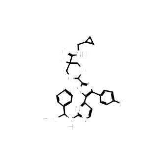 CC(Nc1nccc(-c2[nH]c(C3OCC(C)(C(=O)NCC4CC4)CO3)nc2-c2ccc(F)cc2)n1)c1ccccc1